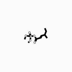 CCC(C)C=CC(=O)OP(=O)(OC)OC